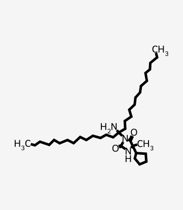 CCCCCCCCCCCCCCC(N)(CCCCCCCCCCCCCC)N1C(=O)NC(C)(C2CCCC2)C1=O